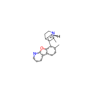 Cc1ccc2c(oc3ncccc32)c1C1C2CCN(CC2)[C@@H]1C